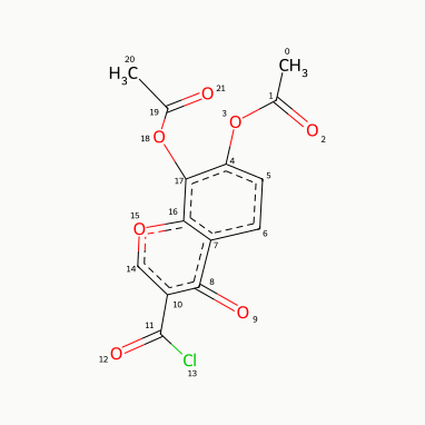 CC(=O)Oc1ccc2c(=O)c(C(=O)Cl)coc2c1OC(C)=O